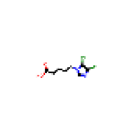 O=C(O)CCCCn1cnc(Cl)c1Cl